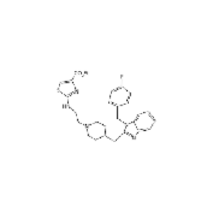 CCOC(=O)c1csc(NCCN2CCC(Cc3nc4ccccc4n3Cc3ccc(F)cc3)CC2)n1